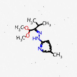 COC(OC)C(=NNc1ccc(C)cn1)C(C)C